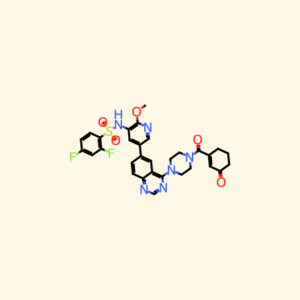 COc1ncc(-c2ccc3ncnc(N4CCN(C(=O)C5=CC(=O)CCC5)CC4)c3c2)cc1NS(=O)(=O)c1ccc(F)cc1F